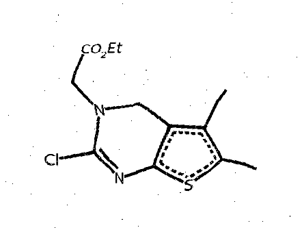 CCOC(=O)CN1Cc2c(sc(C)c2C)N=C1Cl